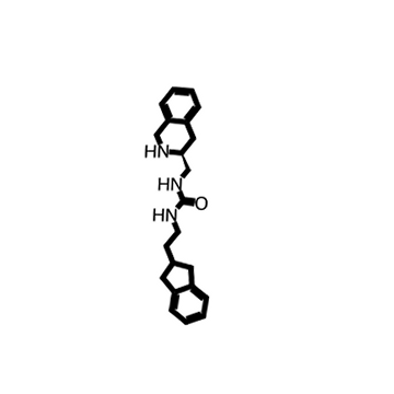 O=C(NCCC1Cc2ccccc2C1)NC[C@@H]1Cc2ccccc2CN1